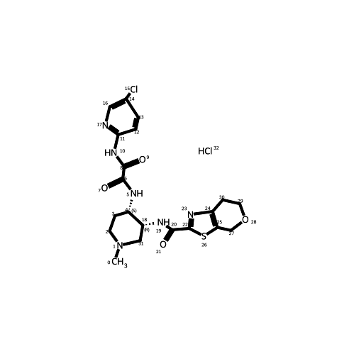 CN1CC[C@H](NC(=O)C(=O)Nc2ccc(Cl)cn2)[C@H](NC(=O)c2nc3c(s2)COCC3)C1.Cl